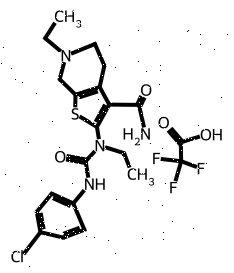 CCN1CCc2c(sc(N(CC)C(=O)Nc3ccc(Cl)cc3)c2C(N)=O)C1.O=C(O)C(F)(F)F